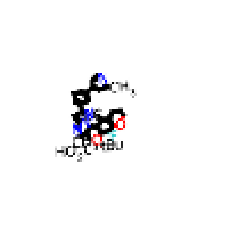 Cc1cc(-c2cccc(-c3cc4nc(C)c([C@H](OC(C)(C)C)C(=O)O)c(-c5cc(F)c6c(c5C)CCCO6)n4n3)c2)ccn1